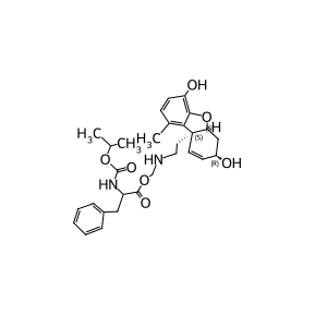 Cc1ccc(O)c2c1[C@]1(CCNCOC(=O)C(Cc3ccccc3)NC(=O)OC(C)C)C=C[C@H](O)C[C@@H]1O2